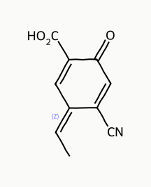 C/C=C1/C=C(C(=O)O)C(=O)C=C1C#N